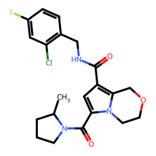 CC1CCCN1C(=O)c1cc(C(=O)NCc2ccc(F)cc2Cl)c2n1CCOC2